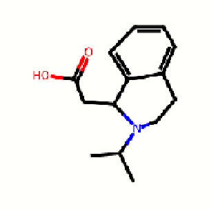 CC(C)N1CCc2ccccc2C1CC(=O)O